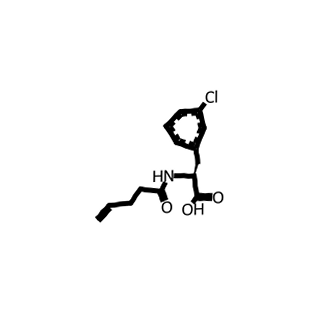 C=CCCC(=O)N[C@@H](Cc1cccc(Cl)c1)C(=O)O